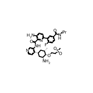 CC(C)NC(=O)c1ccc(F)c(-c2ccc(N)c(C(=O)Nc3cnccc3[C@H]3C[C@@H](N)[C@@H](OCCS(C)(=O)=O)[C@@H](C)C3)n2)c1